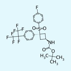 CC(C)(C)OC(=O)N[C@H]1C[C@@](c2ccc(C(F)(C(F)(F)F)C(F)(F)F)cc2)(S(=O)(=O)c2ccc(F)cc2)C1